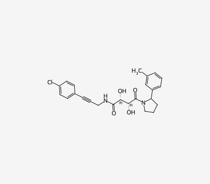 Cc1cccc(C2CCCN2C(=O)[C@H](O)[C@@H](O)C(=O)NCC#Cc2ccc(Cl)cc2)c1